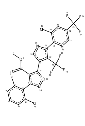 COC(=O)c1c(-c2c(F)cccc2Cl)noc1-c1cnn(-c2ncc(C(F)(F)F)cc2Cl)c1C(F)(F)F